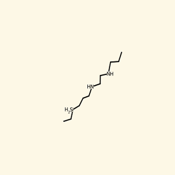 CCCNCCNCCC[SiH2]CC